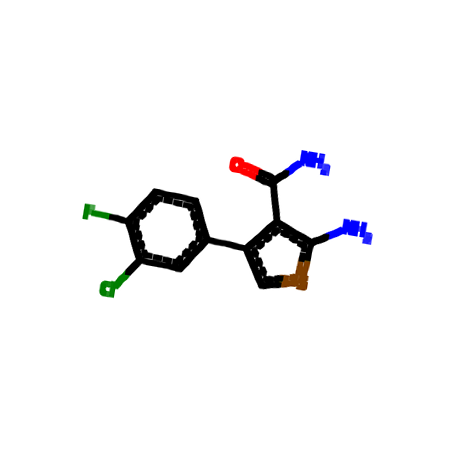 NC(=O)c1c(-c2ccc(F)c(Cl)c2)csc1N